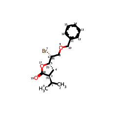 CC(C)[C@@H]1C[C@@H]([C@H](Br)COCc2ccccc2)OC1=O